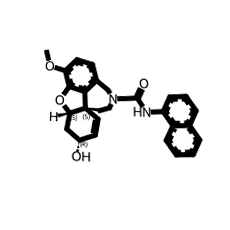 COc1ccc2c3c1O[C@H]1C[C@@H](O)C=C[C@@]31CCN(C(=O)Nc1cccc3ccccc13)C2